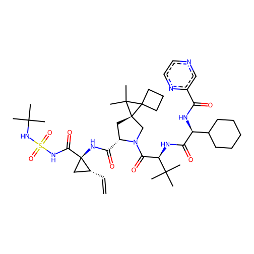 C=C[C@@H]1C[C@]1(NC(=O)[C@@H]1C[C@@]2(CN1C(=O)[C@@H](NC(=O)[C@@H](NC(=O)c1cnccn1)C1CCCCC1)C(C)(C)C)C(C)(C)C21CCC1)C(=O)NS(=O)(=O)NC(C)(C)C